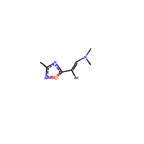 CC(=O)C(=CN(C)C)c1nc(C)no1